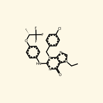 CCn1cnc2c1c(=O)nc(Nc1ccc(O[C@H](C)C(F)(F)F)cc1)n2Cc1ccc(Cl)cc1